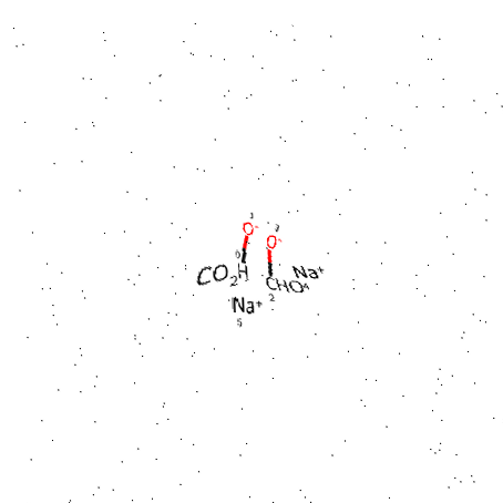 O=C([O-])O.O=C[O-].[Na+].[Na+]